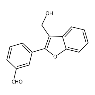 O=Cc1cccc(-c2oc3ccccc3c2CO)c1